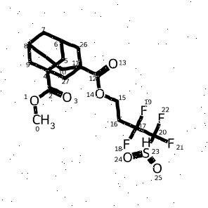 COC(=O)C12CC3CC(C1)CC(C(=O)OCCC(F)(F)C(F)(F)[SH](=O)=O)(C3)C2